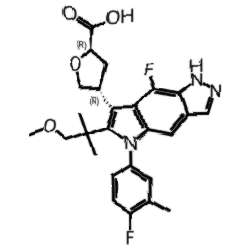 COCC(C)(C)c1c([C@@H]2CO[C@@H](C(=O)O)C2)c2c(F)c3[nH]ncc3cc2n1-c1ccc(F)c(C)c1